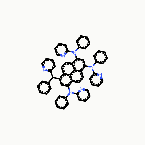 c1ccc(C(c2ccccn2)c2cc(N(c3ccccc3)c3ccccn3)c3ccc4c(N(c5ccccc5)c5ccccn5)cc(N(c5ccccc5)c5ccccn5)c5ccc2c3c54)cc1